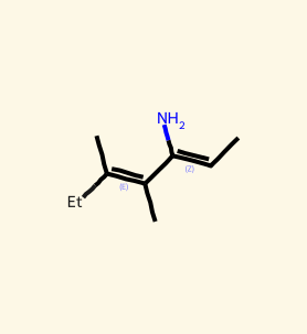 C/C=C(N)/C(C)=C(\C)CC